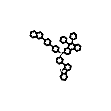 c1ccc(-c2c(-c3ccccc3)c3cc(N(c4ccc(-c5ccc(-c6ccc7ccccc7c6)cc5)cc4)c4cccc(-c5cccc6c5oc5ccccc56)c4)ccc3c3ccccc23)cc1